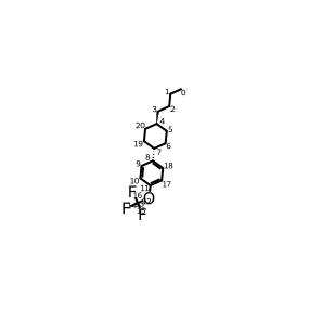 CCCC[C@H]1CC[C@H](c2ccc(OC(F)(F)F)cc2)CC1